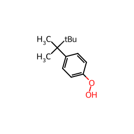 CC(C)(C)C(C)(C)c1ccc(OO)cc1